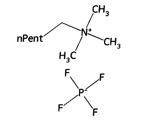 CCCCCC[N+](C)(C)C.F[P-](F)(F)F